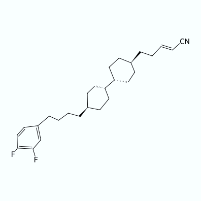 N#CC=CCC[C@H]1CC[C@H]([C@H]2CC[C@H](CCCCc3ccc(F)c(F)c3)CC2)CC1